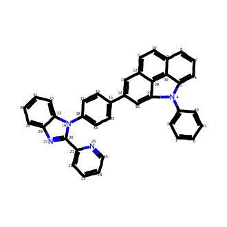 c1ccc(-n2c3cccc4ccc5cc(-c6ccc(-n7c(-c8ccccn8)nc8ccccc87)cc6)cc2c5c43)cc1